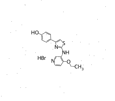 Br.CCOc1ccncc1Nc1nc(-c2ccc(O)cc2)cs1